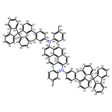 Cc1cccc(N(c2ccc(-c3cccc(C4(c5cccc(C)c5)c5ccccc5-c5ccccc54)c3)cc2)c2ccc3ccc4c(N(c5ccc(-c6cccc(C7(c8cccc(C)c8)c8ccccc8-c8ccccc87)c6)cc5)c5cccc(C)c5)ccc5ccc2c3c54)c1